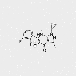 Cc1nn(C2CC2)c2[nH]c(-c3cccc(F)c3F)c(O)c(=O)c12